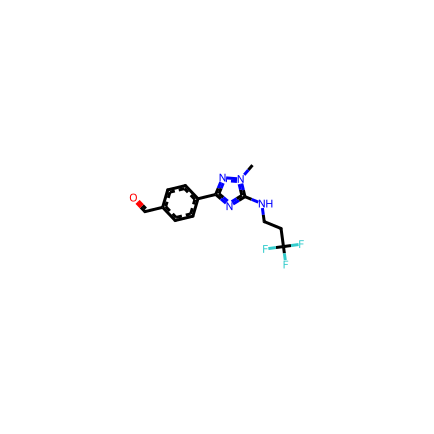 Cn1nc(-c2ccc(C=O)cc2)nc1NCCC(F)(F)F